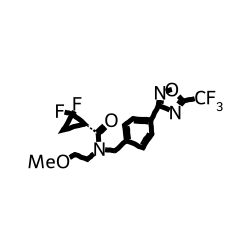 COCCN(Cc1ccc(-c2noc(C(F)(F)F)n2)cc1)C(=O)[C@@H]1CC1(F)F